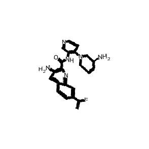 CC(F)c1ccc2cc(N)c(C(=O)Nc3cnccc3N3CCC[C@H](N)C3)nc2c1